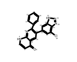 O=c1cc[nH]c2nc(-c3ccccc3)c(-c3cc(Cl)c4nn[nH]c4c3)cc12